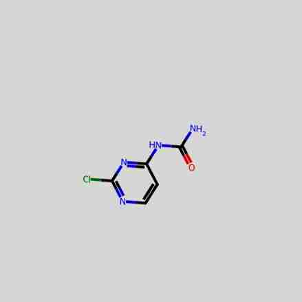 NC(=O)Nc1ccnc(Cl)n1